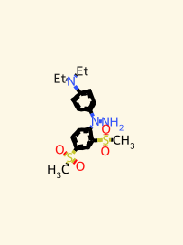 CCN(CC)c1ccc(N(N)c2ccc(S(C)(=O)=O)cc2S(C)(=O)=O)cc1